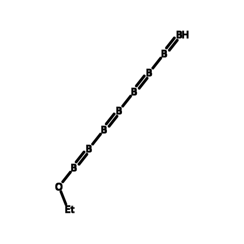 B=BB=BB=BB=BOCC